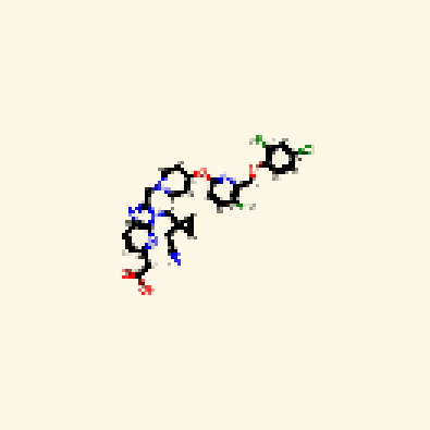 N#CCC1(Cn2c(CN3CCC(Oc4ccc(F)c(COc5ccc(Cl)cc5F)n4)CC3)nc3ccc(CC(=O)O)nc32)CC1